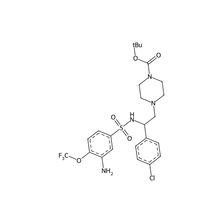 CC(C)(C)OC(=O)N1CCN(CC(NS(=O)(=O)c2ccc(OC(F)(F)F)c(N)c2)c2ccc(Cl)cc2)CC1